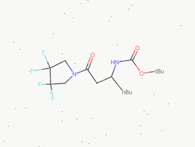 CCCCC(CC(=O)N1CC(F)(F)C(F)(F)C1)NC(=O)OC(C)(C)C